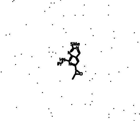 CSc1ncc2cc(C3OC3C)nc(NC(C)C)c2n1